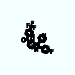 O=C(c1ccc(C(F)(F)F)cc1)N1CCn2nc(-c3ccc(F)cc3)c(-c3ccncc3)c2N1